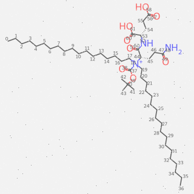 CCCCCCCCCCCCCCCCCC[N+](CCCCCCCCCCCCCCCCCC)(C(=O)OC(C)(C)C)[C@@H](CCC(N)=O)C(=O)N[C@@H](CCC(=O)O)C(=O)O